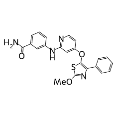 COc1nc(-c2ccccc2)c(Oc2ccnc(Nc3cccc(C(N)=O)c3)c2)s1